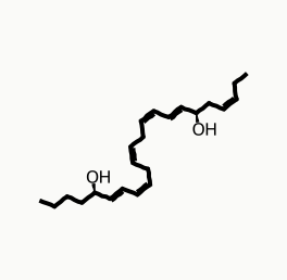 CC/C=C\C[C@@H](O)/C=C/C=C\C/C=C\C/C=C\C=C\[C@H](O)CCCC